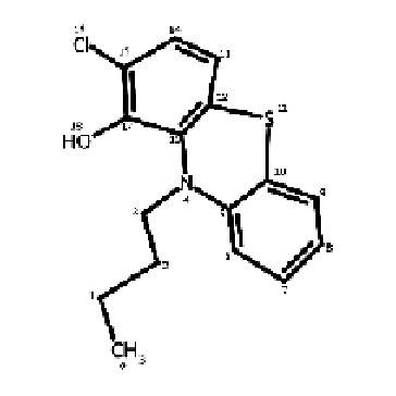 CCCCN1c2ccccc2Sc2ccc(Cl)c(O)c21